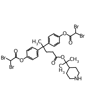 CC(CCC(=O)OC(C)(C)C1CCNCC1)(c1ccc(OC(=O)C(Br)Br)cc1)c1ccc(OC(=O)C(Br)Br)cc1